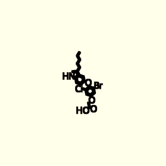 CCCCCc1c[nH]c2ccc(Oc3c(Cl)cc(OCC(=O)O)cc3Br)cc12